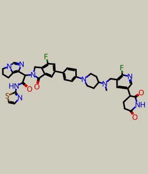 CN(Cc1cc(C2CCC(=O)NC2=O)cnc1F)C1CCN(c2ccc(-c3cc(F)c4c(c3)C(=O)N(C(C(=O)Nc3nccs3)c3ncn5c3CCC5)C4)cc2)CC1